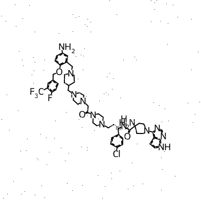 Nc1ccc(OCc2ccc(F)c(C(F)(F)F)c2)c(CN2CCC(CN3CCN(CC(=O)N4CCN(CC[C@H](NC(=O)C5(N)CCN(c6ncnc7[nH]ccc67)CC5)c5ccc(Cl)cc5)CC4)CC3)CC2)c1